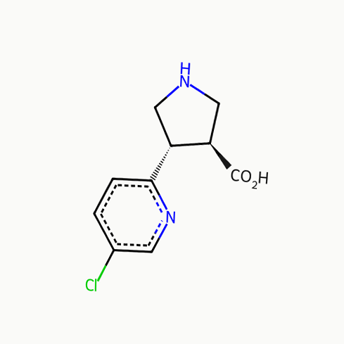 O=C(O)[C@@H]1CNC[C@H]1c1ccc(Cl)cn1